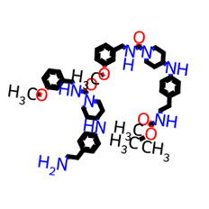 COc1cccc(CNC(=O)N2CCC(Nc3ccc(CCN)cc3)CC2)c1.COc1cccc(CNC(=O)N2CCC(Nc3ccc(CCNC(=O)OC(C)(C)C)cc3)CC2)c1